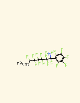 CCCCCC(F)C(F)(F)C(F)(F)C(F)(F)C(F)(F)C(F)(c1c(F)c(F)c(F)c(F)c1F)N(F)F